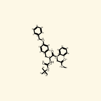 COC(=O)CN(C(=O)[C@H](Cc1ccc(OCc2ccccc2)cc1)NC(=O)OC(C)(C)C)c1ccccc1